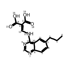 CCCc1ccc2ncnc(NC=C(C(=O)O)C(=O)O)c2c1